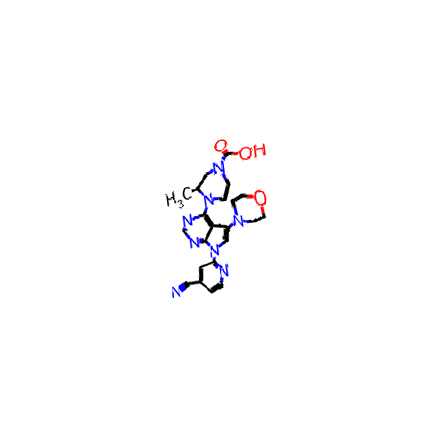 C[C@H]1CN(C(=O)O)CCN1c1ncnc2c1c(N1CCOCC1)cn2-c1cc(C#N)ccn1